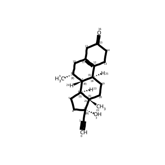 C#C[C@@]1(O)CC[C@H]2[C@@H]3[C@H](C)CC4=C(CCC(=O)C4)[C@H]3CC[C@@]21C